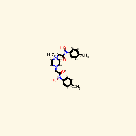 Cc1ccc(N(O)C(=O)CN2CC[N+](C)(CC(=O)N(O)c3ccc(C)cc3)CC2)cc1